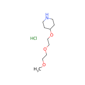 COCCOCCOC1CCNCC1.Cl